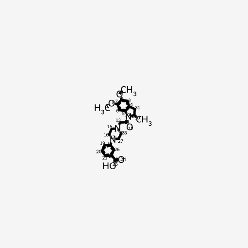 COc1cc2c(cc1OC)N(C(=O)CN1CCN(c3cccc(C(=O)O)c3)CC1)C(C)C2